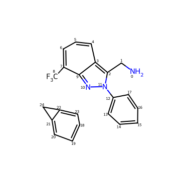 NCc1c2cccc(C(F)(F)F)c2nn1-c1ccccc1.c1ccc2c(c1)C2